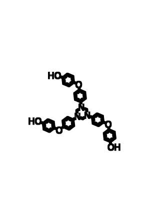 Oc1ccc(Oc2ccc(N3CN(c4ccc(Oc5ccc(O)cc5)cc4)CN(c4ccc(Oc5ccc(O)cc5)cc4)C3)cc2)cc1